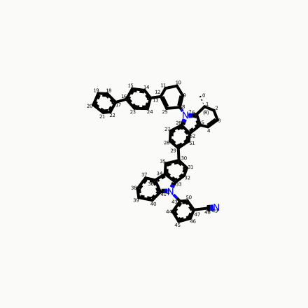 C[C@@H]1CC=Cc2c1n(C1=CCCC(c3ccc(-c4ccccc4)cc3)=C1)c1ccc(-c3ccc4c(c3)c3ccccc3n4-c3cccc(C#N)c3)cc21